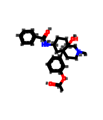 CC(=O)Oc1cccc([C@@]23CCN(C)C[C@@]2(O)CC[C@H](NC(=O)c2ccccc2)C3)c1